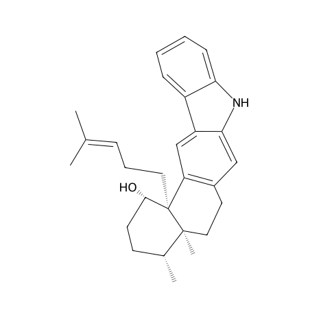 CC(C)=CCC[C@]12c3cc4c(cc3CC[C@@]1(C)[C@H](C)CC[C@@H]2O)[nH]c1ccccc14